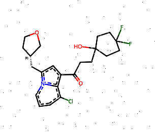 O=C(CCC1(O)CCC(F)(F)CC1)c1cc(C[C@@H]2CCOC2)n2cccc(Cl)c12